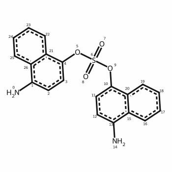 Nc1ccc(OS(=O)(=O)Oc2ccc(N)c3ccccc23)c2ccccc12